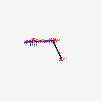 O=CNCC(=O)N[C@@H](CC(=O)NCCCOCCOCCOCCCNC(=O)CC[C@H](NC(=O)CCCCCCCCCCCCCCCCCCC(=O)O)C(=O)O)C(=O)O